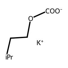 CC(C)CCOC(=O)[O-].[K+]